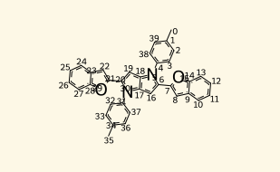 Cc1ccc(-n2c(-c3cc4ccccc4o3)cc3c2cc(-c2cc4ccccc4o2)n3-c2ccc(C)cc2)cc1